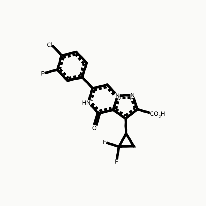 O=C(O)c1nn2cc(-c3ccc(Cl)c(F)c3)[nH]c(=O)c2c1C1CC1(F)F